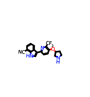 N#Cc1cccc2c(-c3ccc(OC4CCNC4)c(C(F)(F)F)n3)c[nH]c12